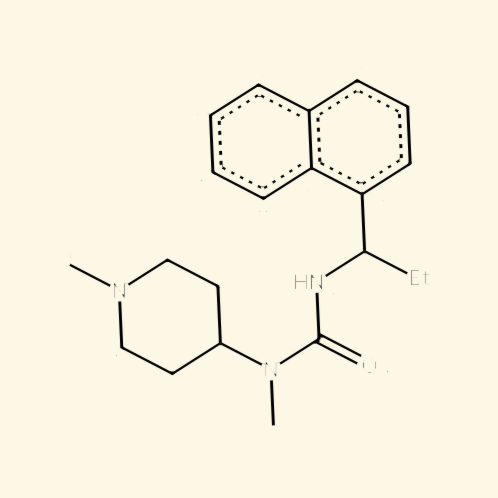 CCC(NC(=O)N(C)C1CCN(C)CC1)c1cccc2ccccc12